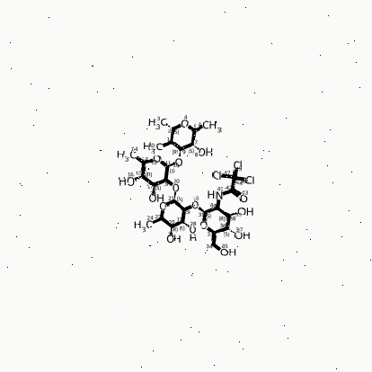 CC1[C@H](C)OC(C)[C@H](O)[C@@H]1O[C@@H]1OC(C)[C@H](O)[C@H](O)C1O[C@@H]1OC(C)[C@H](O)[C@H](O)C1O[C@@H]1OC(CO)[C@@H](O)[C@H](O)C1NC(=O)C(Cl)(Cl)Cl